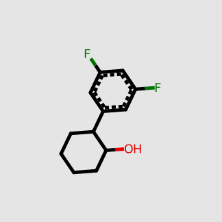 OC1CCCCC1c1cc(F)cc(F)c1